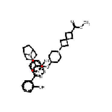 COC(=O)C1CC2(C1)CC(N1CCC(Oc3cc(N4C5CCC4CN(c4cc(-c6ccccc6O)nnc4N)C5)ccn3)CC1)C2